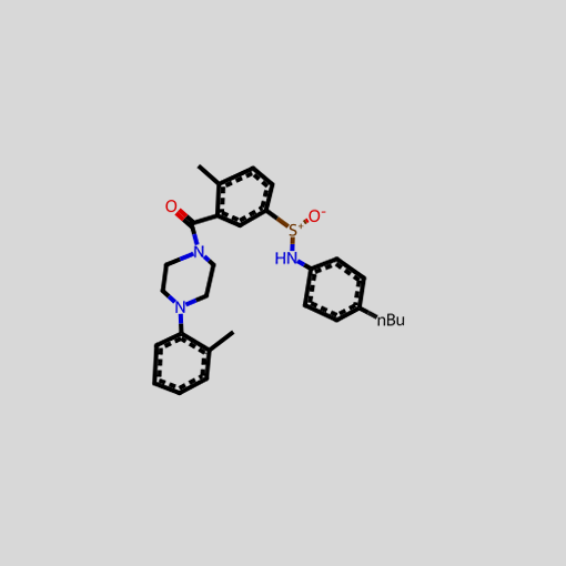 CCCCc1ccc(N[S+]([O-])c2ccc(C)c(C(=O)N3CCN(c4ccccc4C)CC3)c2)cc1